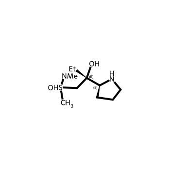 CC[C@](O)(C[SH](C)(=O)NC)[C@@H]1CCCN1